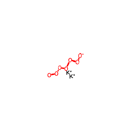 [K+].[K+].[O-]OOOOO[O-]